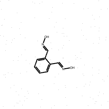 ON=Cc1ccccc1C=NO